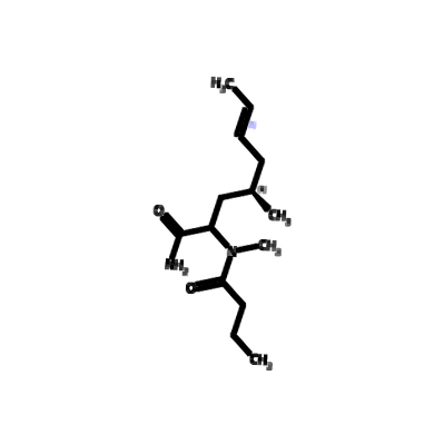 C/C=C/C[C@@H](C)CC(C(N)=O)N(C)C(=O)CCC